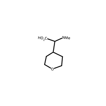 CNC(C(=O)O)C1CCOCC1